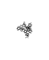 CCn1cc(-c2ccnc3c2cc(CNCCN(C)C)n3S(=O)(=O)c2ccccc2)c(-c2ccc(NC(=O)Nc3ccccc3)cc2)n1